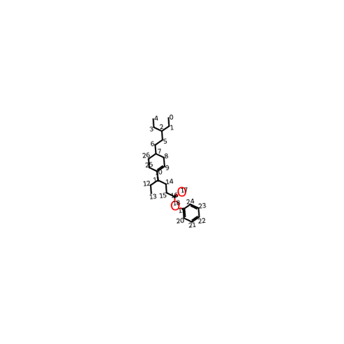 CCC(CC)CCC1CC=C(C(CC)CCC(=O)Oc2ccccc2)CC1